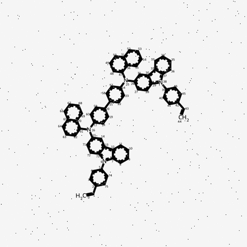 C=Cc1ccc(-n2c3ccccc3c3cc(N(c4ccc(-c5ccc(N(c6ccc7c(c6)c6ccccc6n7-c6ccc(C=C)cc6)c6cccc7ccccc67)cc5)cc4)c4cccc5ccccc45)ccc32)cc1